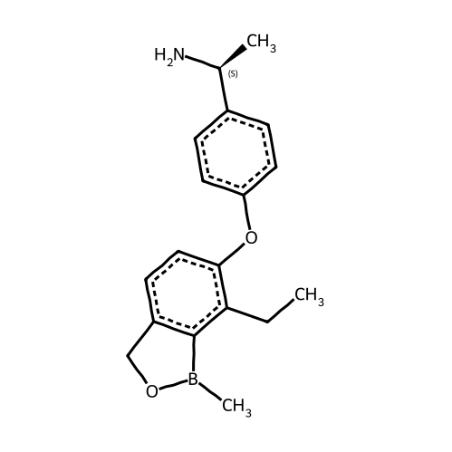 CCc1c(Oc2ccc([C@H](C)N)cc2)ccc2c1B(C)OC2